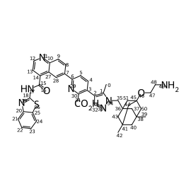 Cc1c(-c2ccc(-c3ccc4nccc(C(=O)Nc5nc6ccccc6s5)c4c3)nc2C(=O)O)cnn1CC12CC3(C)CC(C)(C1)CC(OCCN)(C3)C2